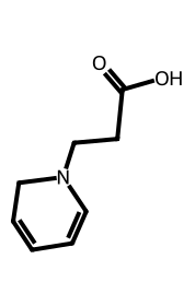 O=C(O)CCN1C=CC=CC1